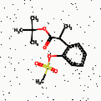 CC(C(=O)OC(C)(C)C)c1ccccc1OS(C)(=O)=O